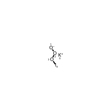 [K+].[O-]OOI